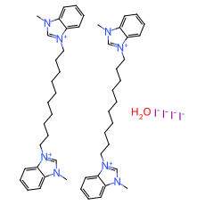 Cn1c[n+](CCCCCCCCCC[n+]2cn(C)c3ccccc32)c2ccccc21.Cn1c[n+](CCCCCCCCCC[n+]2cn(C)c3ccccc32)c2ccccc21.O.[I-].[I-].[I-].[I-]